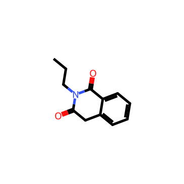 CCCN1C(=O)Cc2ccccc2C1=O